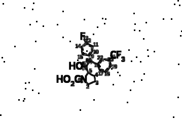 O=C(O)N1CCCC1[C@@H](O)[C@H](c1ccc(F)cc1)c1cccc(C(F)(F)F)c1